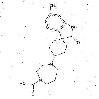 Cc1ccc2c(c1)NC(=O)C21CCC(N2CCCN(C(=O)O)CC2)CC1